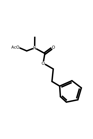 CC(=O)OCN(C)C(=O)OCCc1ccccc1